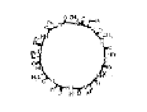 CC(C)C[C@H]1OC(=O)[C@H](C)NC(=O)[C@H](C(C)C)OC(=O)[C@@H](C)NC(=O)[C@@H](CC(C)C)OC(=O)[C@H](C(C)C)NC(=O)C(C(C)C)OC(=O)[C@@H](C)NC(=O)[C@@H](CC(C)C)OC(=O)[C@H](C(C)C)NC(=O)[C@H](C(C)C)OC(=O)[C@@H](C)NC1=O